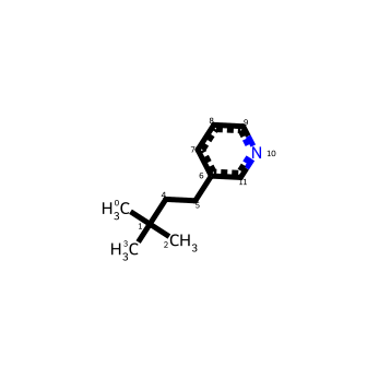 CC(C)(C)CCc1cccnc1